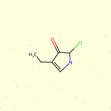 CCC1=[C][N]C(Cl)C1=O